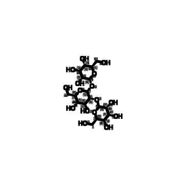 OC[C@H]1O[C@@H](O[C@H]2[C@H](O[C@H]3O[C@H](CO)[C@@H](O)[C@H](O)[C@H]3O)O[C@H](CO)[C@@H](O)[C@@H]2O)[C@H](O)[C@@H](O)[C@H]1O